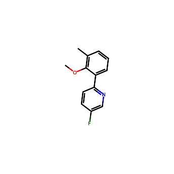 COc1c(C)cccc1-c1ccc(F)cn1